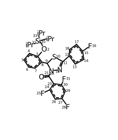 CC(C)[Si](Oc1ccccc1C1SC(c2ccc(F)cc2)=NN1C(=O)c1c(F)cc(F)cc1F)(C(C)C)C(C)C